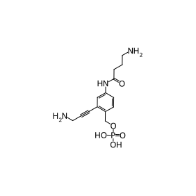 NCC#Cc1cc(NC(=O)CCCN)ccc1COP(=O)(O)O